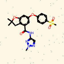 Cn1ncc(NC(=O)c2cc(Oc3ccc(S(C)(=O)=O)cc3)cc3c2CC(C)(C)O3)n1